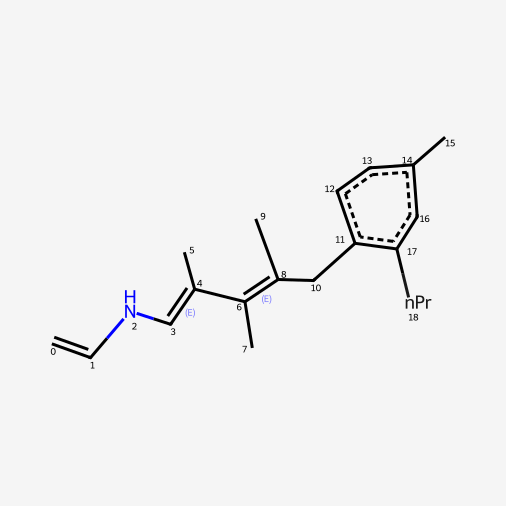 C=CN/C=C(C)/C(C)=C(\C)Cc1ccc(C)cc1CCC